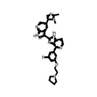 Cc1ncc(-c2cnc3[nH]nc(-c4nc5c(-c6cc(F)cc(OCCN7CCCC7)c6)nccc5[nH]4)c3c2)n1C